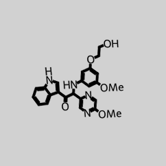 COc1cc(NC(C(=O)c2c[nH]c3ccccc23)c2cnc(OC)cn2)cc(OCCO)c1